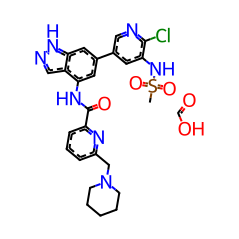 CS(=O)(=O)Nc1cc(-c2cc(NC(=O)c3cccc(CN4CCCCC4)n3)c3cn[nH]c3c2)cnc1Cl.O=CO